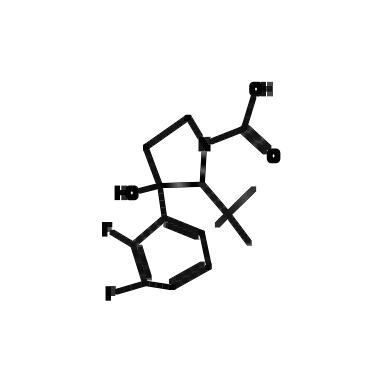 CC(C)(C)C1N(C(=O)O)CCC1(O)c1cccc(F)c1F